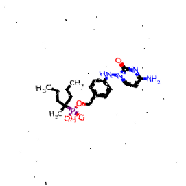 CCCC(C)(CCC)P(=O)(O)OCc1ccc(Nn2ccc(N)nc2=O)cc1